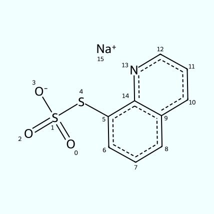 O=S(=O)([O-])Sc1cccc2cccnc12.[Na+]